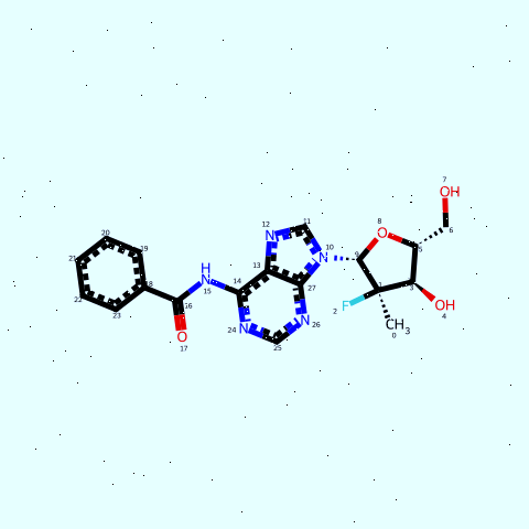 C[C@@]1(F)[C@H](O)[C@@H](CO)O[C@H]1n1cnc2c(NC(=O)c3ccccc3)ncnc21